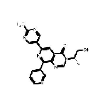 C[C@@H](CO)n1cnc2c(-c3cccnc3)nc(-c3cnc(C(F)(F)F)nc3)cc2c1=O